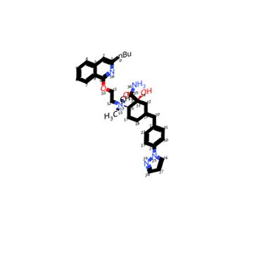 CCCCc1cc2ccccc2c(OCC[N+](C)(C)[C@H]2CCC(Cc3ccc(-n4cccn4)cc3)C[C@@]2(O)C(N)=O)n1